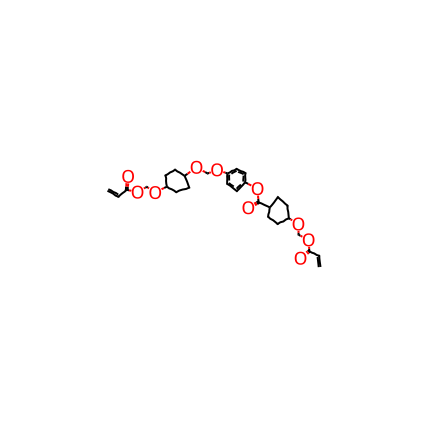 C=CC(=O)OCOC1CCC(OCOc2ccc(OC(=O)C3CCC(OCOC(=O)C=C)CC3)cc2)CC1